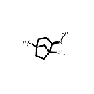 CC12CCC(=NO)C(C)(CC1)C2